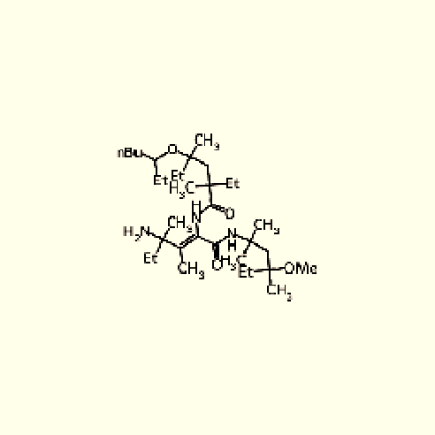 CCCCC(CC)OC(C)(CC)CC(C)(CC)C(=O)N/C(C(=O)NC(C)(C)CC(C)(CC)OC)=C(/C)C(C)(N)CC